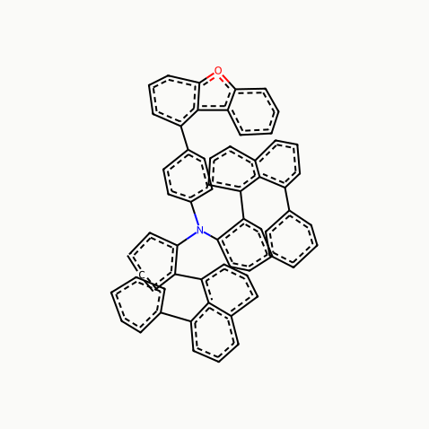 c1ccc(-c2cccc3cccc(-c4ccccc4N(c4ccc(-c5cccc6oc7ccccc7c56)cc4)c4ccccc4-c4cccc5cccc(-c6ccccc6)c45)c23)cc1